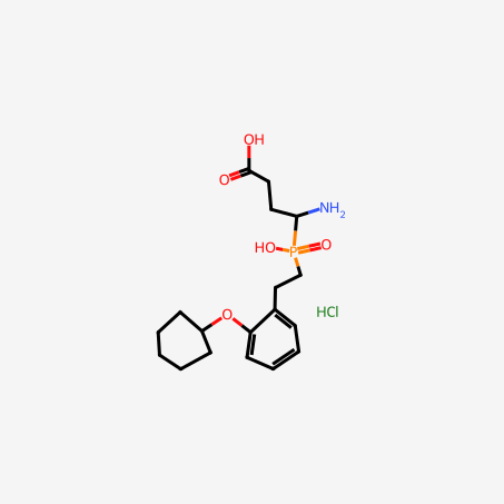 Cl.NC(CCC(=O)O)P(=O)(O)CCc1ccccc1OC1CCCCC1